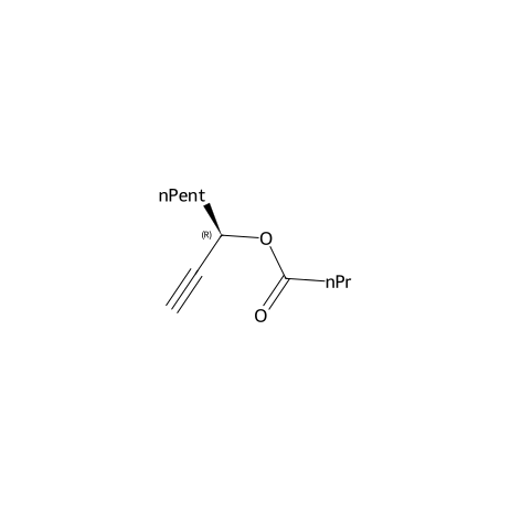 C#C[C@@H](CCCCC)OC(=O)CCC